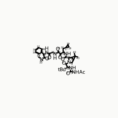 CC(=O)NC(=O)N[C@H](C(=O)N1CC2C([C@H]1C(=O)NC(CC1CC1)C(=O)C(=O)NCC(=O)N[C@H](C(=O)N(C)C)c1ccccc1)C2(C)C)C(C)(C)C